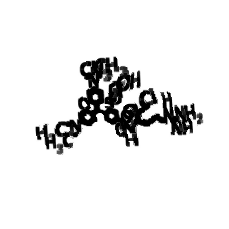 CCN(CC)c1ccc2c(-c3ccc(S(=O)(=O)NC(CCCNC(=N)N)C(=O)CCl)cc3SOOO)c3ccc(=[N+](CC)CC)cc-3oc2c1